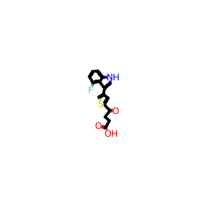 O=C(O)CCC(=O)c1cc(-c2c[nH]c3cccc(F)c23)cs1